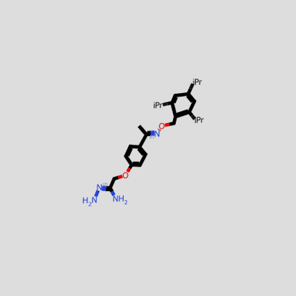 C/C(=N\OCc1c(C(C)C)cc(C(C)C)cc1C(C)C)c1ccc(OC/C(N)=N/N)cc1